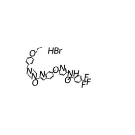 Br.CCCOc1ccc(CN2CCN(C(=O)c3cc4ccc(Oc5ccc(NC(=O)c6ccc(C(F)(F)F)cc6)cn5)cc4n3C)CC2)cc1